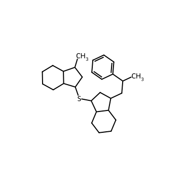 CC(CC1CC(SC2CC(C)C3CCCCC23)C2CCCCC12)c1ccccc1